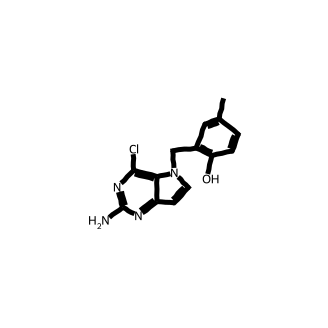 Cc1ccc(O)c(Cn2ccc3nc(N)nc(Cl)c32)c1